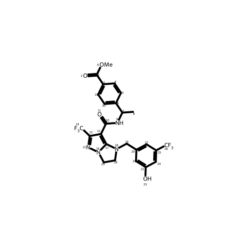 COC(=O)c1ccc(C(C)NC(=O)c2c(C(F)(F)F)nn3c2N(Cc2cc(O)cc(C(F)(F)F)c2)CC3)cc1